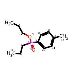 CCCOP(=O)(CCC)c1ccc(C)cc1